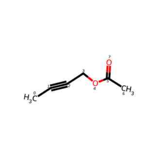 CC#CCOC(C)=O